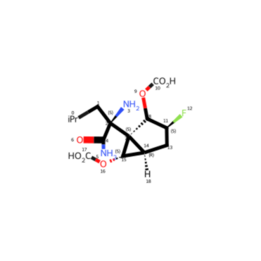 CC(C)C[C@@](N)(C(N)=O)[C@@]12C(OC(=O)O)[C@@H](F)C[C@H]1[C@@H]2OC(=O)O